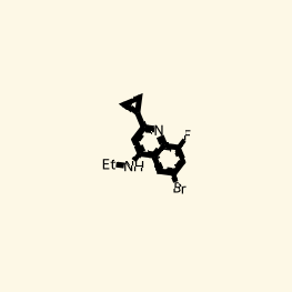 CCNc1cc(C2CC2)nc2c(F)cc(Br)cc12